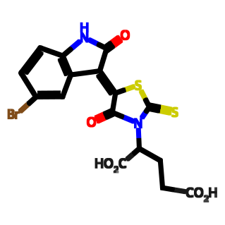 O=C(O)CCC(C(=O)O)N1C(=O)/C(=C2/C(=O)Nc3ccc(Br)cc32)SC1=S